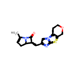 O=C(O)C1=CCC2C(=Cc3cn4c5c(sc4n3)COCC5)C(=O)N12